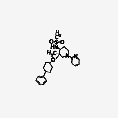 C[C@@]1(COC2CCC(c3ccccc3)CC2)CN(c2ccccn2)CC[C@@H]1NS(C)(=O)=O